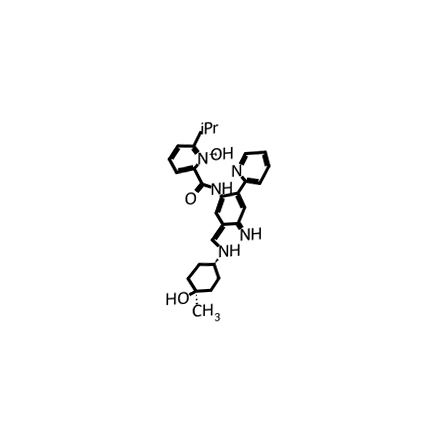 CC(C)c1cccc(C(=O)NC2=C/C(=C/N[C@H]3CC[C@](C)(O)CC3)C(=N)C=C2c2ccccn2)[n+]1O